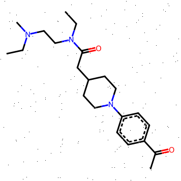 CCN(C)CCN(CC)C(=O)CC1CCN(c2ccc(C(C)=O)cc2)CC1